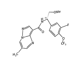 COC[C@@H](NC(=O)c1cnn2cc(C)cnc12)c1ccc(OC(F)(F)F)c(F)c1